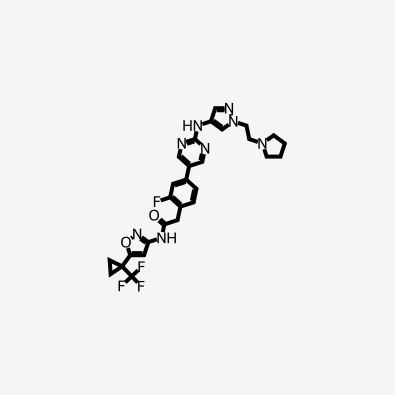 O=C(Cc1ccc(-c2cnc(Nc3cnn(CCN4CCCC4)c3)nc2)cc1F)Nc1cc(C2(C(F)(F)F)CC2)on1